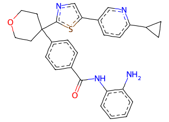 Nc1ccccc1NC(=O)c1ccc(C2(c3ncc(-c4ccc(C5CC5)nc4)s3)CCOCC2)cc1